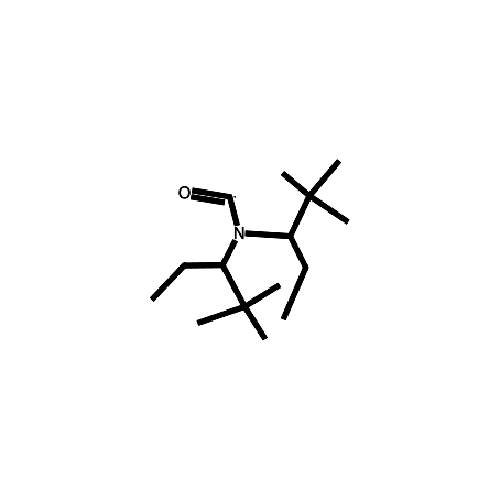 CCC(N([C]=O)C(CC)C(C)(C)C)C(C)(C)C